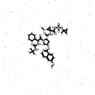 CC[C@@H]1C[C@]1(NC(=O)[C@@H]1C[C@@H](Oc2nccc3cc(OC)ccc23)CN1C(=O)[C@@H](NC(=O)NC(C)(C)C)C1CCCCC1)C(=O)NS(=O)(=O)OC1(C)CC1